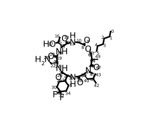 CCCCCC[C@H]1OC(=O)CNC(=O)[C@H](C(C)O)NC(=O)[C@H](CN)NC(=O)C(C2CCC(F)(F)CC2)NC(=O)[C@H](CC(C)C)N(C)C(=O)[C@@H]1C